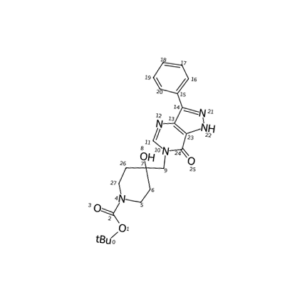 CC(C)(C)OC(=O)N1CCC(O)(Cn2cnc3c(-c4ccccc4)n[nH]c3c2=O)CC1